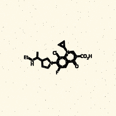 CCNC(C)C1CCN(c2c(F)cc3c(=O)c(C(=O)O)cn(C4CC4)c3c2Cl)C1